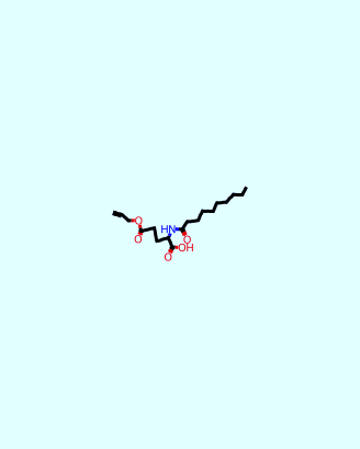 C=CCOC(=O)CCC(NC(=O)CCCCCCCCC)C(=O)O